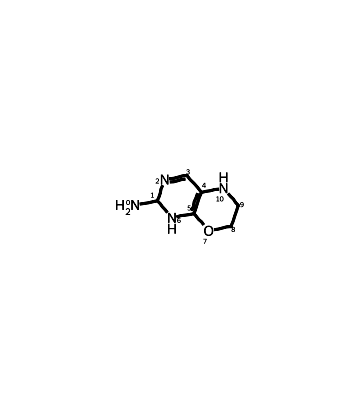 NC1N=CC2=C(N1)OCCN2